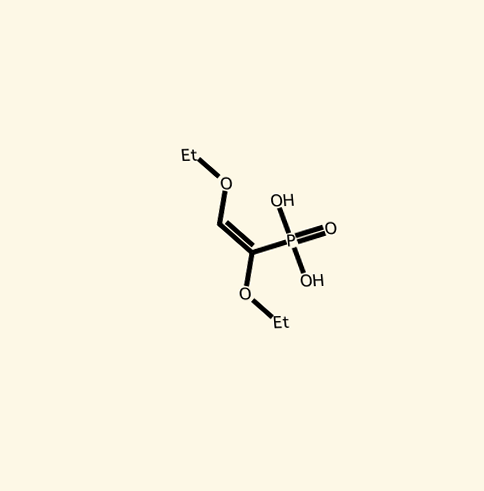 CCOC=C(OCC)P(=O)(O)O